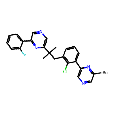 CC(C)(C)c1cncc(-c2cccc(CC(C)(C)c3cncc(-c4ccccc4F)n3)c2Cl)n1